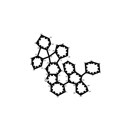 c1ccc(-c2c3ccccc3c(-c3cccc4oc5cc6c(cc5c34)-c3ccccc3C63c4ccccc4-c4ccccc43)c3ccccc23)cc1